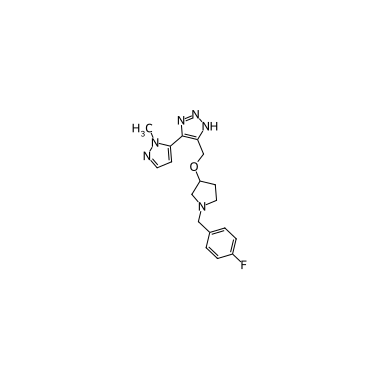 Cn1nccc1-c1nn[nH]c1COC1CCN(Cc2ccc(F)cc2)C1